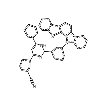 N#Cc1cccc(C2=NC(c3cccc(-n4c5ccccc5c5ccc6c7ccccc7sc6c54)c3)NC(c3ccccc3)=C2)c1